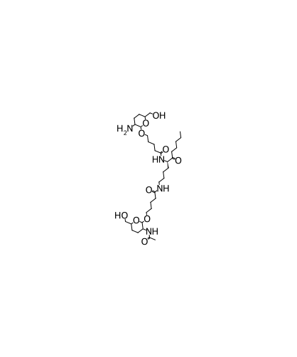 CCCCCC(=O)[C@@H](CCCCNC(=O)CCCCOC1OC(CO)CCC1NC(C)=O)NC(=O)CCCCOC1OC(CO)CCC1N